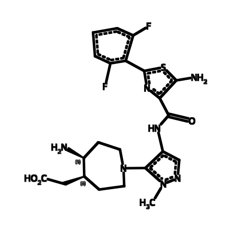 Cn1ncc(NC(=O)c2nc(-c3c(F)cccc3F)sc2N)c1N1CC[C@@H](CC(=O)O)[C@@H](N)CC1